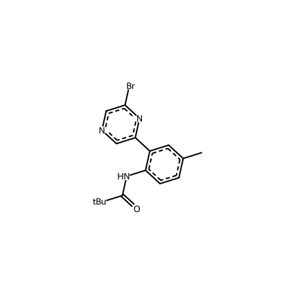 Cc1ccc(NC(=O)C(C)(C)C)c(-c2cncc(Br)n2)c1